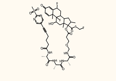 CC1CC2C3CC(F)C4=CC(=O)C=CC4(C)C3(F)C(O)CC2(C)C1(OC(=O)CCOCNC(=O)[C@H](C)NC(=O)[C@H](C)NC(=O)[C@H](C)NC(=O)CCCC#Cc1cnc(S(C)(=O)=O)nc1)C(=O)SCF